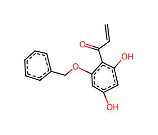 C=CC(=O)c1c(O)cc(O)cc1OCc1ccccc1